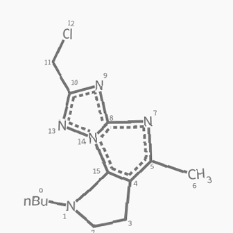 CCCCN1CCc2c(C)nc3nc(CCl)nn3c21